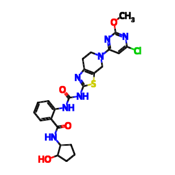 COc1nc(Cl)cc(N2CCc3nc(NC(=O)Nc4ccccc4C(=O)NC4CCCC4O)sc3C2)n1